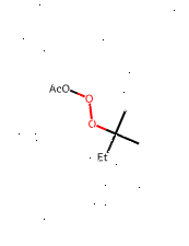 CCC(C)(C)OOOC(C)=O